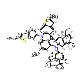 CC(C)(C)c1cc2c3c(c1)N(c1ccc4cc(C(C)(C)C)sc4c1)c1cc4sc(C(C)(C)C)cc4cc1B3c1cc3c(cc1N2c1ccc2c(c1)C(C)(C)CCC2(C)C)C(C)(C)CCC3(C)C